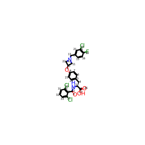 O=C(N[C@@H](Cc1ccc(OC2CN(Cc3ccc(F)c(Cl)c3)C2)cc1)C(=O)O)c1c(Cl)cccc1Cl